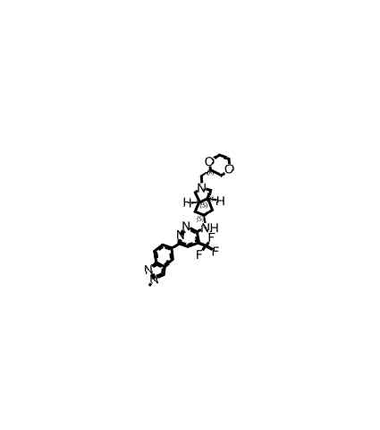 Cn1cc2cc(-c3cc(C(F)(F)F)c(N[C@H]4C[C@@H]5CN(C[C@@H]6COCCO6)C[C@@H]5C4)nn3)ccc2n1